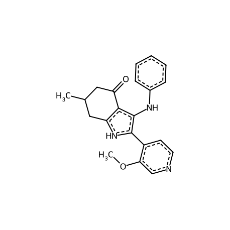 COc1cnccc1-c1[nH]c2c(c1Nc1ccccc1)C(=O)CC(C)C2